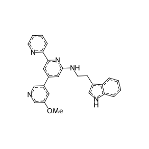 COc1cncc(-c2cc(NCCc3c[nH]c4ccccc34)nc(-c3ccccn3)c2)c1